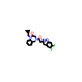 Cc1cc(F)c(F)cc1C[C@@H](N)CC(=O)N1CC(=O)N(CC2CC2)c2ccccc2C1